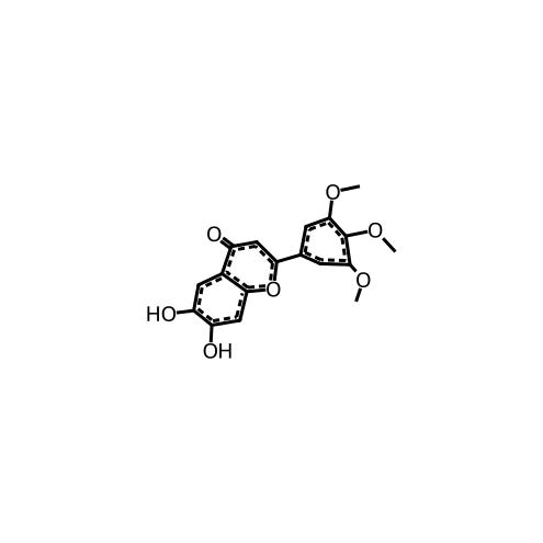 COc1cc(-c2cc(=O)c3cc(O)c(O)cc3o2)cc(OC)c1OC